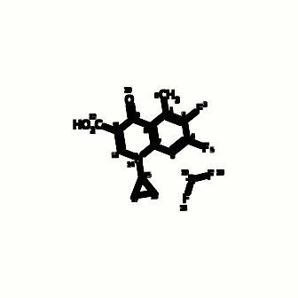 Cc1c(F)c(F)cc2c1c(=O)c(C(=O)O)cn2C1CC1.F[B]F